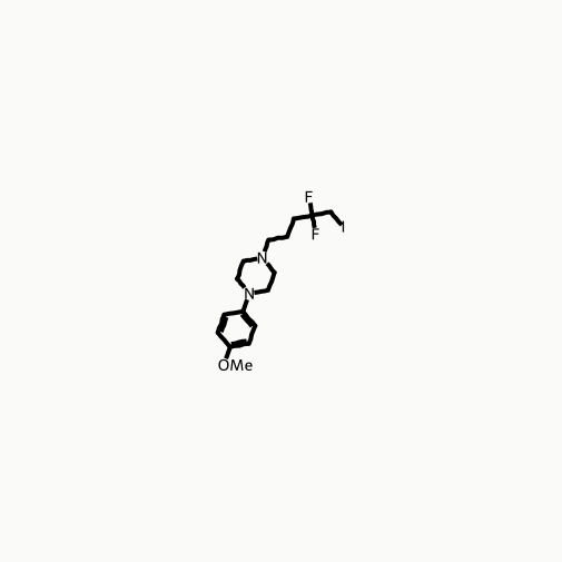 COc1ccc(N2CCN(CCCC(F)(F)CI)CC2)cc1